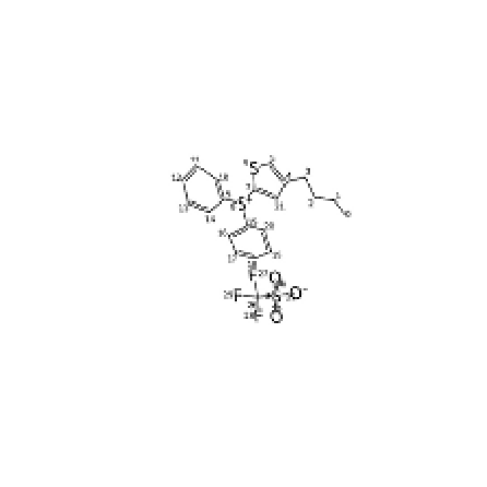 CCCCc1csc([S+](c2ccccc2)c2ccccc2)c1.O=S(=O)([O-])C(F)(F)F